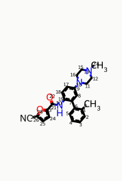 Cc1ccccc1-c1cc(N2CCN(C)CC2)ccc1NC(=O)c1ccc(C#N)o1